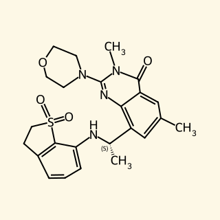 Cc1cc([C@H](C)Nc2cccc3c2S(=O)(=O)CC3)c2nc(N3CCOCC3)n(C)c(=O)c2c1